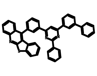 c1ccc(-c2cccc(-c3cc(-c4cccc(-c5c6ccccc6nc6sc7ccccc7c56)c4)nc(-c4ccccc4)n3)c2)cc1